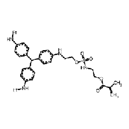 C=C(C)C(=O)OCCNS(=O)(=O)OCCNc1ccc(C(c2ccc(NCC)cc2)c2ccc(NCC)cc2)cc1